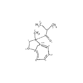 CC(C)C(=O)C1(C)COc2ccccc21